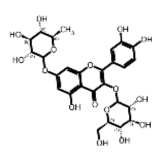 C[C@H]1OC(Oc2cc(O)c3c(=O)c(OC4O[C@H](CO)[C@@H](O)[C@H](O)[C@H]4O)c(-c4ccc(O)c(O)c4)oc3c2)[C@H](O)[C@@H](O)[C@@H]1O